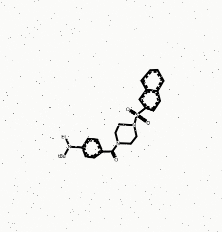 CCN(c1ccc(C(=O)N2CCN(S(=O)(=O)c3ccc4ccccc4c3)CC2)cc1)C(C)(C)C